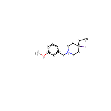 N#CCC1(I)CCN(Cc2cccc(OC(F)(F)F)c2)CC1